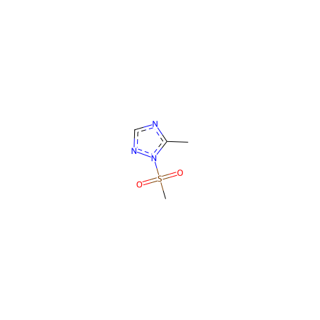 Cc1ncnn1S(C)(=O)=O